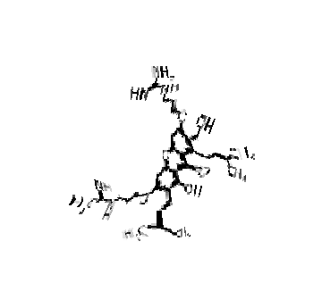 CC(=N)NCCCOc1cc2oc3cc(OCCCNC(=N)N)c(CO)c(CC=C(C)C)c3c(=O)c2c(O)c1CC=C(C)C